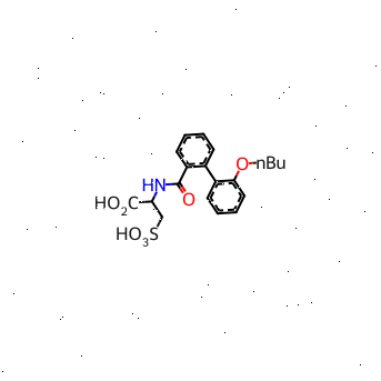 CCCCOc1ccccc1-c1ccccc1C(=O)NC(CS(=O)(=O)O)C(=O)O